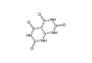 O=c1[nH]c(=O)c2c(=O)[nH]c(=O)[nH]c2[nH]1